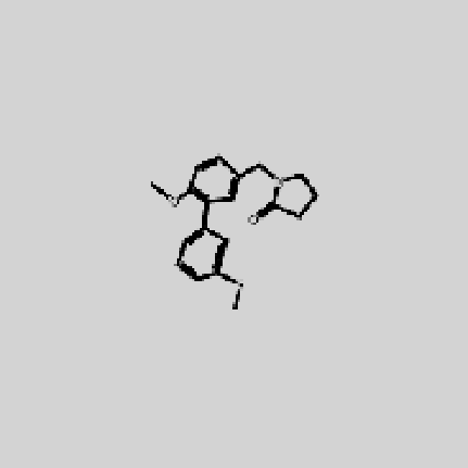 COc1ccc(CN2CCCC2=O)cc1-c1cccc(SC)c1